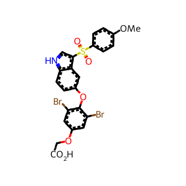 COc1ccc(S(=O)(=O)c2c[nH]c3ccc(Oc4c(Br)cc(OCC(=O)O)cc4Br)cc23)cc1